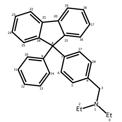 CCN(CC)Cc1ccc(C2(c3ccccc3)c3ccccc3-c3ccccc32)cc1